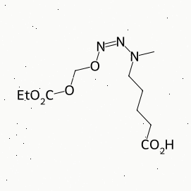 CCOC(=O)OCO/N=N\N(C)CCCCC(=O)O